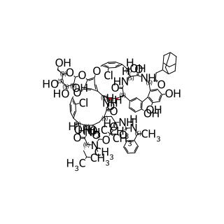 CC(C)C[C@H](C(=O)N[C@H]1C(=O)C[C@@H](CC(=O)NC(=O)N[C@@H](C)c2ccccc2)C(=O)N[C@H]2C(=O)C[C@@H]3C(=O)N[C@H](C(=O)N[C@H](C(=O)CC4C5CC6CC(C5)CC4C6)c4cc(O)cc(O)c4-c4cc3ccc4O)[C@H](O)c3ccc(c(Cl)c3)Oc3cc2cc(c3OC2O[C@H](CO)[C@@H](O)[C@H](O)[C@H]2O)Oc2ccc(cc2Cl)[C@H]1O)N(C)C(=O)OC(C)(C)C